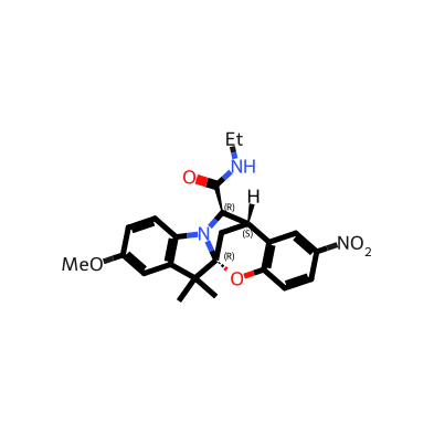 CCNC(=O)[C@H]1[C@H]2C[C@]3(Oc4ccc([N+](=O)[O-])cc42)N1c1ccc(OC)cc1C3(C)C